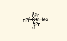 CCCCCC[N+](CCC)(CCC)CCC.[I-]